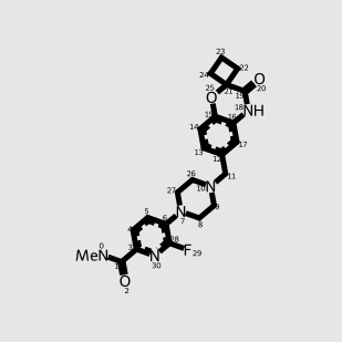 CNC(=O)c1ccc(N2CCN(Cc3ccc4c(c3)NC(=O)C3(CCC3)O4)CC2)c(F)n1